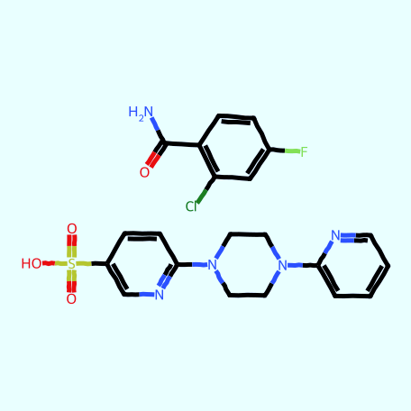 NC(=O)c1ccc(F)cc1Cl.O=S(=O)(O)c1ccc(N2CCN(c3ccccn3)CC2)nc1